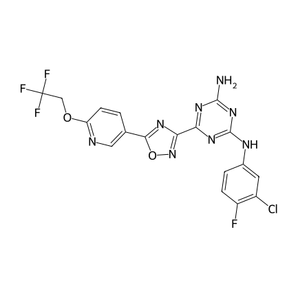 Nc1nc(Nc2ccc(F)c(Cl)c2)nc(-c2noc(-c3ccc(OCC(F)(F)F)nc3)n2)n1